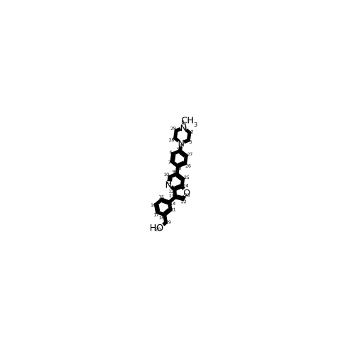 CN1CCN(c2ccc(-c3cnc4c(-c5cccc(CO)c5)coc4c3)cc2)CC1